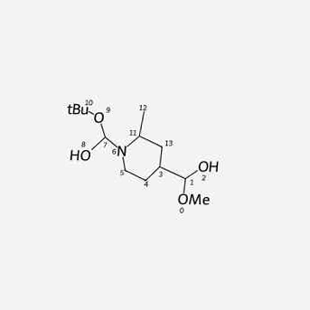 COC(O)C1CCN(C(O)OC(C)(C)C)C(C)C1